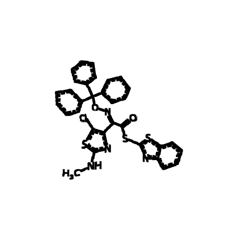 CNc1nc(/C(=N\OC(c2ccccc2)(c2ccccc2)c2ccccc2)C(=O)Sc2nc3ccccc3s2)c(Cl)s1